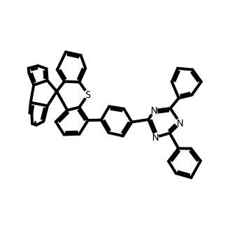 c1ccc(-c2nc(-c3ccccc3)nc(-c3ccc(-c4cccc5c4Sc4ccccc4C54c5ccccc5-c5ccccc54)cc3)n2)cc1